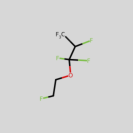 FCCOC(F)(F)C(F)C(F)(F)F